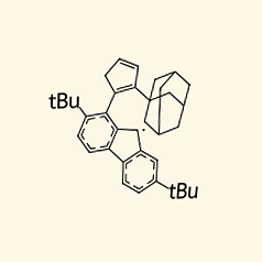 CC(C)(C)c1ccc2c(c1)[CH]c1c-2ccc(C(C)(C)C)c1C1=C(C23CC4CC(CC(C4)C2)C3)C=CC1